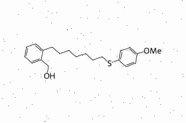 COc1ccc(SCCCCCCCc2ccccc2CO)cc1